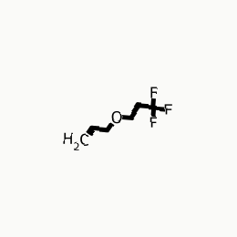 C=CCOCCC(F)(F)F